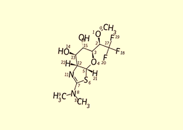 CO[C@H]([C@H]1O[C@@H]2SC(N(C)C)=N[C@@H]2[C@@H](O)[C@@H]1O)C(F)(F)F